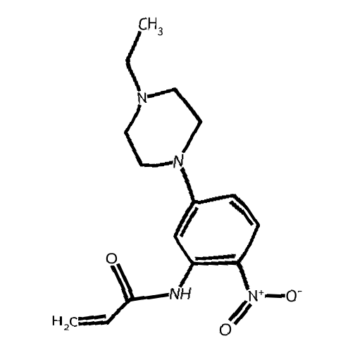 C=CC(=O)Nc1cc(N2CCN(CC)CC2)ccc1[N+](=O)[O-]